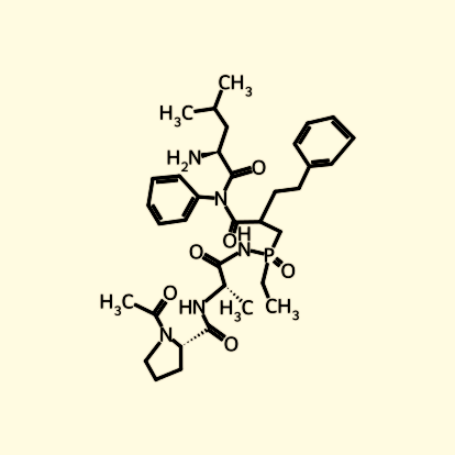 CCP(=O)(CC(CCc1ccccc1)C(=O)N(C(=O)[C@@H](N)CC(C)C)c1ccccc1)NC(=O)[C@H](C)NC(=O)[C@@H]1CCCN1C(C)=O